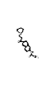 NC(=O)Nc1ccc2cc(C(=O)CCN3CCCCC3)ccc2c1